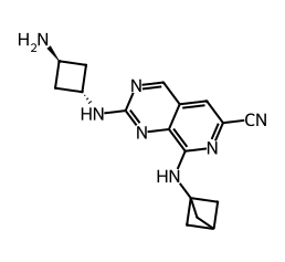 N#Cc1cc2cnc(N[C@H]3C[C@H](N)C3)nc2c(NC23CC(C2)C3)n1